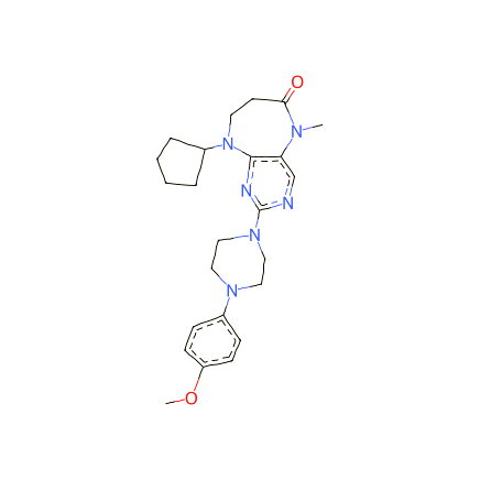 COc1ccc(N2CCN(c3ncc4c(n3)N(C3CCCC3)CCC(=O)N4C)CC2)cc1